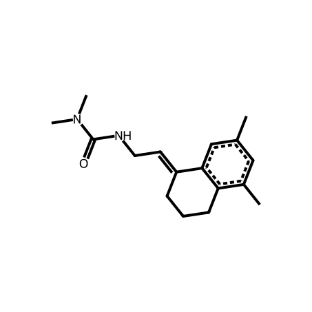 Cc1cc(C)c2c(c1)C(=CCNC(=O)N(C)C)CCC2